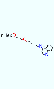 CCCCCCOCCCOCCCCCNc1ccnc2ccccc12